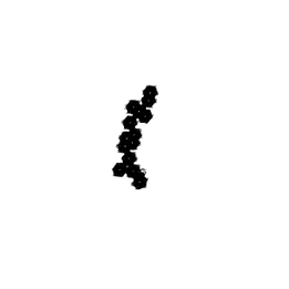 c1cc(-c2c3ccccc3c(-c3ccc4ccccc4c3)c3ccccc23)cc(-c2ccc3ccc4c(-c5ccc6c(c5)c5ccccc5c5cc7c(cc65)sc5ccccc57)ccc5ccc2c3c54)c1